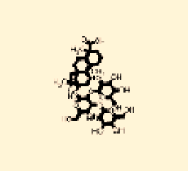 CC1(C(=O)O)CCCC2(C)C3CCC4(OC5OC(CO)C(O)C(OC6OC(CO)C(O)C(O)C6O)C5OC5OC(CO)C(O)C(O)C5O)CC3(CCC12)CC4(C)C